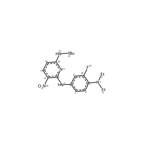 CCN(CC)c1ccc(Nc2nc(NC(C)(C)C)ccc2[N+](=O)[O-])cc1F